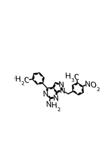 [CH2]c1cccc(-c2nc(N)nc3c2cnn3Cc2ccc([N+](=O)[O-])c(C)c2)c1